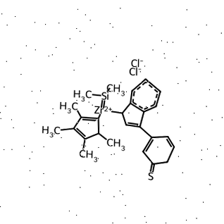 CC1=C(C)C(C)[C]([Zr+2]([CH]2C=C(C3=CC(=S)CC=C3)c3ccccc32)=[Si](C)C)=C1C.[Cl-].[Cl-]